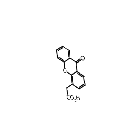 O=C(O)Cc1cccc2c(=O)c3ccccc3oc12